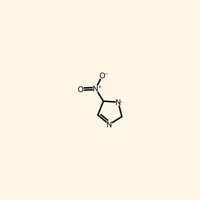 O=[N+]([O-])C1C=NC[N]1